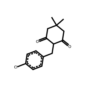 CC1(C)CC(=O)C(Cc2ccc(Cl)cc2)C(=O)C1